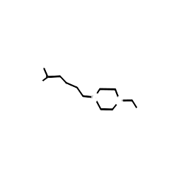 CCN1CCN(CCCCC(C)C)CC1